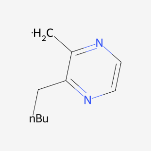 [CH2]c1nccnc1CCCCC